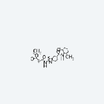 CCOC(=O)C1CC1C(=O)Nc1nc2ccc(C(=O)Nc3c(C)cccc3Cl)cc2s1